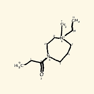 CCC(=O)N1CCC[N+](C)(CC)CC1